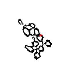 c1ccc(N(c2ccccc2)c2ccc3c(c2)C2(c4ccccc4-c4cc(N(c5ccccc5)c5cccc6c5c5ccccc5n6-c5ccccc5)ccc42)c2ccccc2-3)cc1